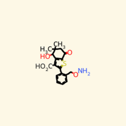 CC1(C)CC(=O)c2sc(-c3ccccc3CON)c(C(=O)O)c2C1O